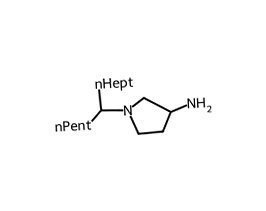 CCCCCCCC(CCCCC)N1CCC(N)C1